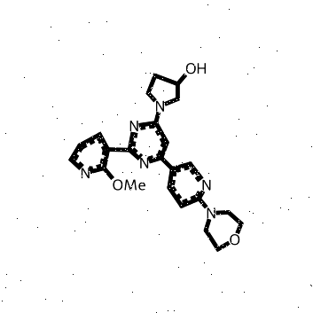 COc1ncccc1-c1nc(-c2ccc(N3CCOCC3)nc2)cc(N2CCC(O)C2)n1